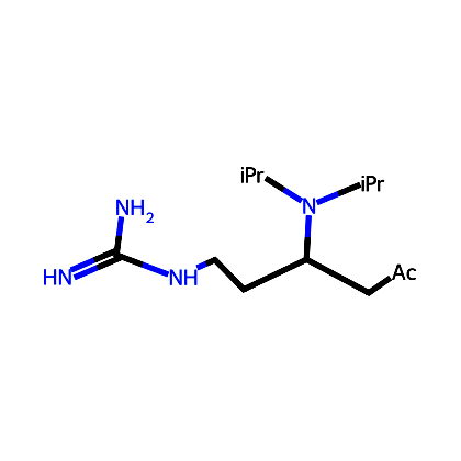 CC(=O)CC(CCNC(=N)N)N(C(C)C)C(C)C